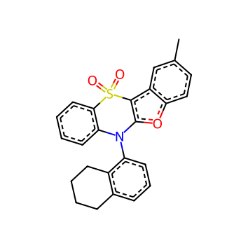 Cc1ccc2oc3c(c2c1)S(=O)(=O)c1ccccc1N3c1cccc2c1CCCC2